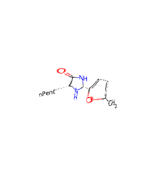 CCCCC[C@H]1N[C@@H](c2ccc(C)o2)NC1=O